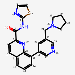 O=C(Nc1nccs1)c1ccc2cccc(-c3cncc(CN4CCCC4)c3)c2n1